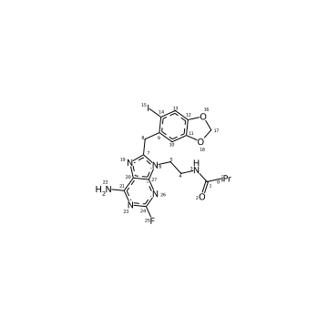 CC(C)C(=O)NCCn1c(Cc2cc3c(cc2I)OCO3)nc2c(N)nc(F)nc21